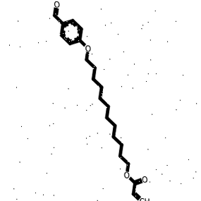 C=CC(=O)OCCCCCCCCCCCCOc1ccc(C=O)cc1